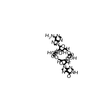 Nc1ncnc2c1ncn2[C@@H]1O[C@@H]2COP(=O)(O)O[C@H]3[C@@H](F)[C@H](n4cnc5c(=O)[nH]cnc54)O[C@@H]3COP(=O)(O)O[C@@H]1[C@@H]2O